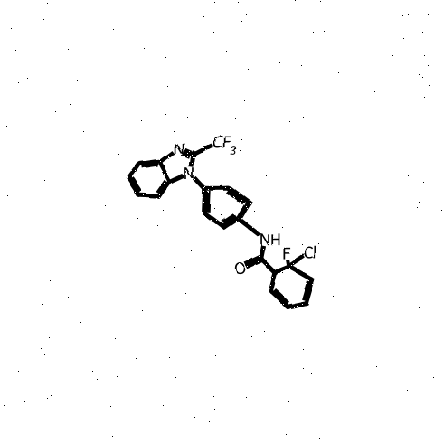 O=C(Nc1ccc(-n2c(C(F)(F)F)nc3ccccc32)cc1)C1C=CC=CC1(F)Cl